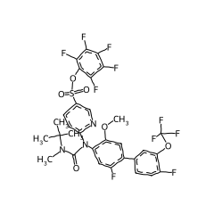 COc1cc(-c2ccc(F)c(OC(F)(F)F)c2)c(F)cc1N(C(=O)N(C)C(C)(C)C)c1ccc(S(=O)(=O)Oc2c(F)c(F)c(F)c(F)c2F)cn1